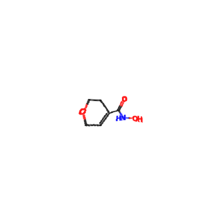 O=C(NO)C1=CCOCC1